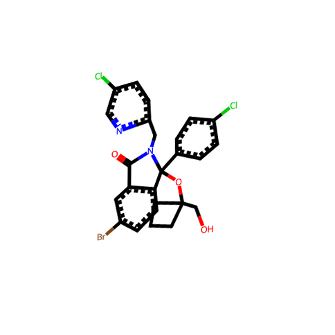 O=C1c2cc(Br)ccc2C(OC2(CO)CCC2)(c2ccc(Cl)cc2)N1Cc1ccc(Cl)cn1